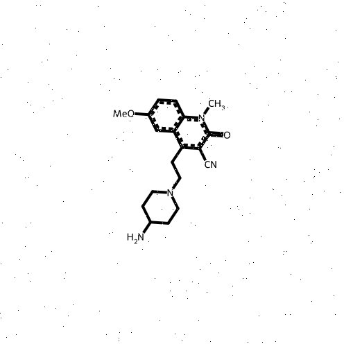 COc1ccc2c(c1)c(CCN1CCC(N)CC1)c(C#N)c(=O)n2C